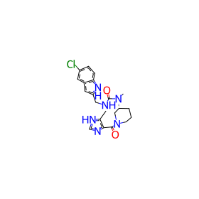 Cc1[nH]cnc1C(=O)N1CCC[C@@H](N(C)C(=O)NCc2cc3cc(Cl)ccc3[nH]2)C1